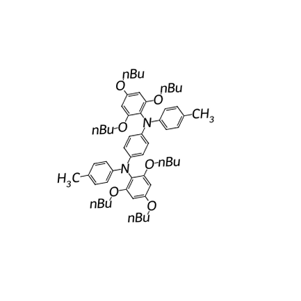 CCCCOc1cc(OCCCC)c(N(c2ccc(C)cc2)c2ccc(N(c3ccc(C)cc3)c3c(OCCCC)cc(OCCCC)cc3OCCCC)cc2)c(OCCCC)c1